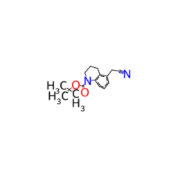 CC(C)(C)OC(=O)N1CCCc2c(CC#N)cccc21